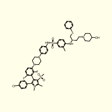 Cc1cc(S(=O)(=O)Nc2ccc(N3CCN(c4ccc(F)c(-c5c(S(C)(=O)=O)c(C)n(C)c5-c5ccc(Cl)cc5)c4F)CC3)cc2)ccc1N[C@H](CCN1CCC(O)CC1)CSc1ccccc1